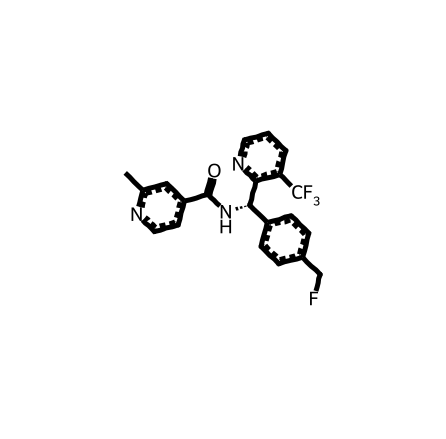 Cc1cc(C(=O)N[C@@H](c2ccc(CF)cc2)c2ncccc2C(F)(F)F)ccn1